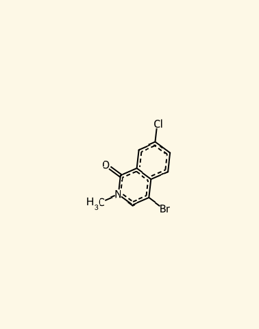 Cn1cc(Br)c2ccc(Cl)cc2c1=O